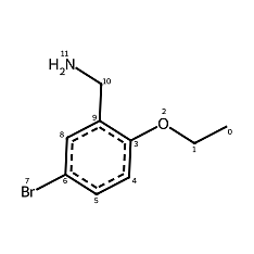 CCOc1ccc(Br)cc1CN